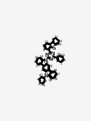 c1ccc(-c2nc(-c3cccc4c3sc3ccccc34)nc(-n3c4ccccc4c4cc5c(cc43)c3ccccc3n5-c3ccccc3)n2)cc1